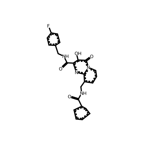 O=C(NCc1cccn2c(=O)c(O)c(C(=O)NCc3ccc(F)cc3)nc12)c1ccccc1